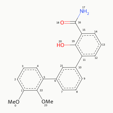 COc1cccc(-c2cccc(-c3cccc(C(N)=O)c3O)c2)c1OC